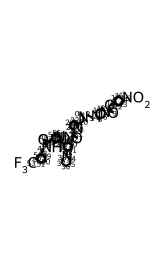 CN(CCN1CCN(C(=O)Oc2ccc([N+](=O)[O-])cc2)CC1)Cc1cccc(C(=O)Nc2ccc(N3CCCCC3)cc2-c2cc(C(=O)NCc3cccc(C(F)(F)F)c3)ccn2)n1